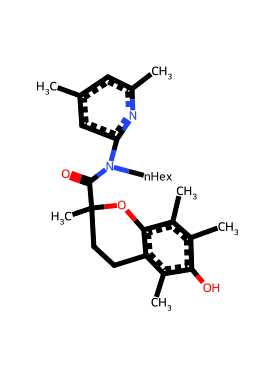 CCCCCCN(C(=O)C1(C)CCc2c(C)c(O)c(C)c(C)c2O1)c1cc(C)cc(C)n1